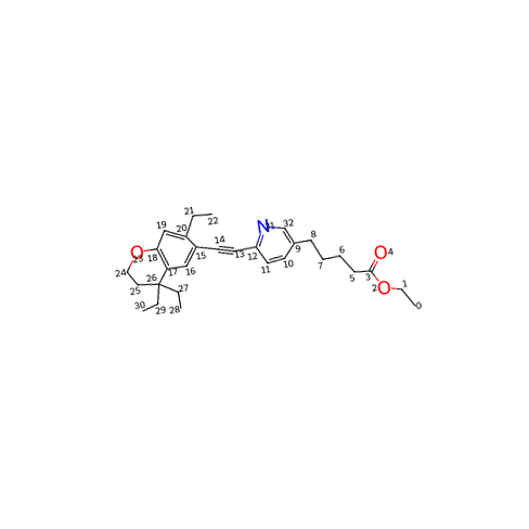 CCOC(=O)CCCCc1ccc(C#Cc2cc3c(cc2CC)OCCC3(CC)CC)nc1